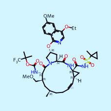 CCOc1cnc(O[C@@H]2C[C@H]3C(=O)N[C@]4(C(=O)NS(=O)(=O)C5(C)CC5)C[C@H]4/C=C\CC[C@@H](C)C[C@@H](COC)[C@H](NC(=O)OC(C)(C)C(F)(F)F)C(=O)N3C2)c2ccc(OC)cc12